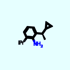 CC(C)c1cccc([C@H](C)C2CC2)c1N